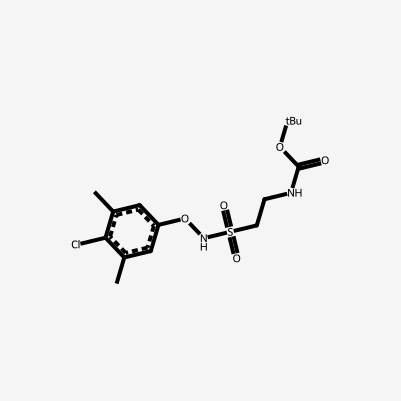 Cc1cc(ONS(=O)(=O)CCNC(=O)OC(C)(C)C)cc(C)c1Cl